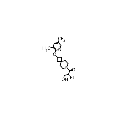 CC[C@H](CO)C(=O)N1CCC2(CC1)CC(Oc1ncc(C(F)(F)F)cc1C)C2